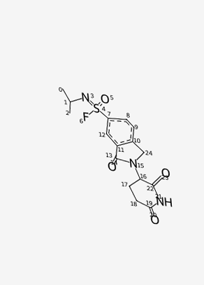 CC(C)N=S(=O)(F)c1ccc2c(c1)C(=O)N(C1CCC(=O)NC1=O)C2